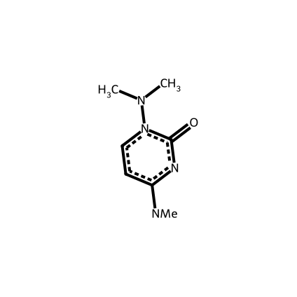 CNc1ccn(N(C)C)c(=O)n1